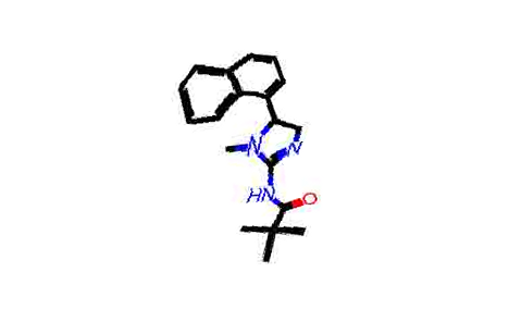 CN1C(NC(=O)C(C)(C)C)=NCC1c1cccc2ccccc12